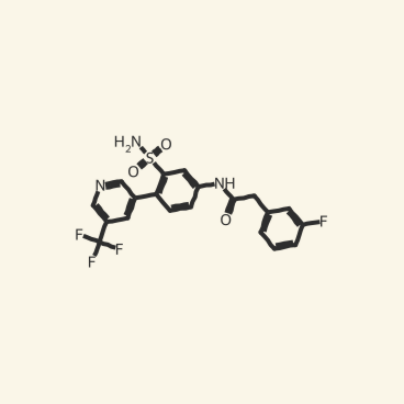 NS(=O)(=O)c1cc(NC(=O)Cc2cccc(F)c2)ccc1-c1cncc(C(F)(F)F)c1